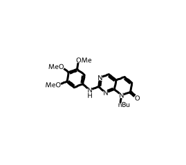 CCCCn1c(=O)ccc2cnc(Nc3cc(OC)c(OC)c(OC)c3)nc21